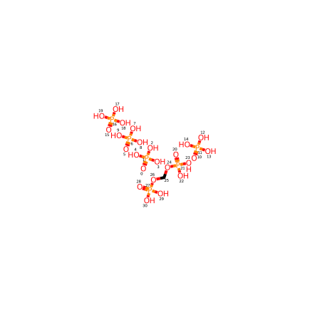 O=P(O)(O)O.O=P(O)(O)O.O=P(O)(O)O.O=P(O)(O)O.O=P(O)(O)OCOP(=O)(O)O